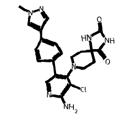 Cn1cc(-c2ccc(-c3cnc(N)c(Cl)c3N3CCC4(CC3)NC(=O)NC4=O)cc2)cn1